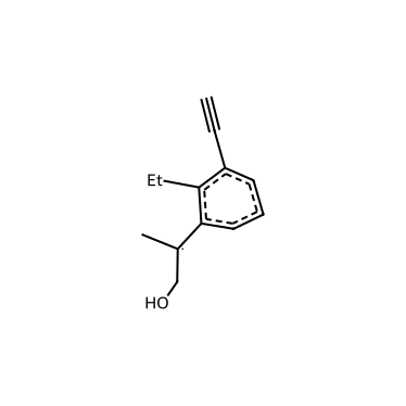 C#Cc1cccc([C](C)CO)c1CC